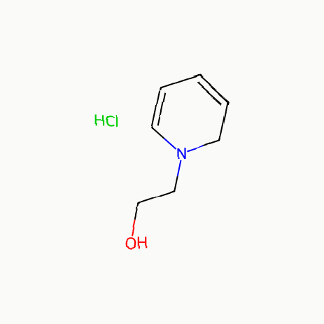 Cl.OCCN1C=CC=CC1